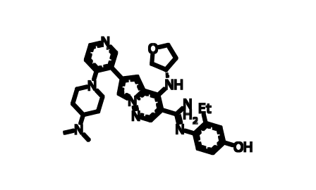 CCc1cc(O)ccc1/N=C(\N)c1cnn2cc(-c3cnccc3N3CCC(N(C)C)CC3)cc2c1N[C@H]1CCOC1